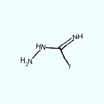 N=C(I)NN